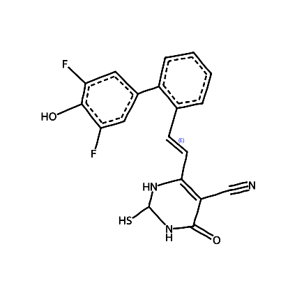 N#CC1=C(/C=C/c2ccccc2-c2cc(F)c(O)c(F)c2)NC(S)NC1=O